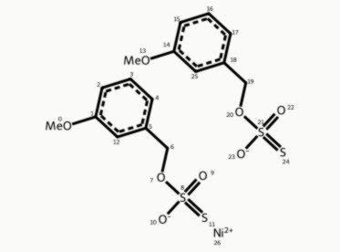 COc1cccc(COS(=O)([O-])=S)c1.COc1cccc(COS(=O)([O-])=S)c1.[Ni+2]